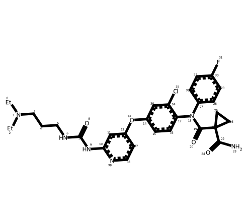 CCN(CC)CCCNC(=O)Nc1cc(Oc2ccc(N(C(=O)C3(C(N)=O)CC3)c3ccc(F)cc3)c(Cl)c2)ccn1